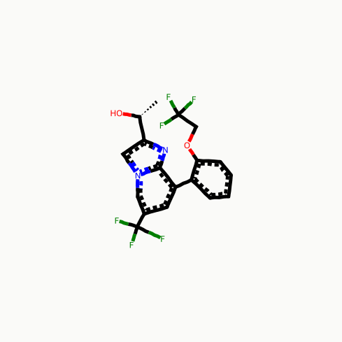 C[C@@H](O)c1cn2cc(C(F)(F)F)cc(-c3ccccc3OCC(F)(F)F)c2n1